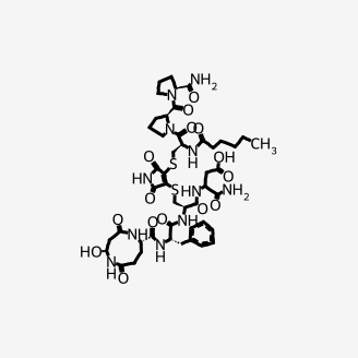 CCCCCC(=O)N[C@@H](CSC1=C(SC[C@H](NC(=O)[C@H](Cc2ccccc2)NC(=O)[C@@H]2CCC(=O)N[C@@H](O)CC(=O)N2)C(=O)NC(CC(=O)O)C(N)=O)C(=O)NC1=O)C(=O)N1CCC[C@H]1C(=O)N1CCC[C@H]1C(N)=O